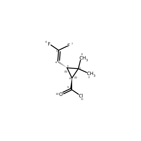 CC1(C)[C@@H](C=C(F)F)[C@@H]1C(=O)Cl